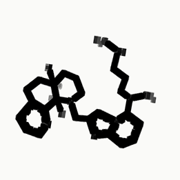 CNCCCN(C)c1cccc2nc(CN3CCC[C@H]4CCc5cccnc5[C@H]43)cn12